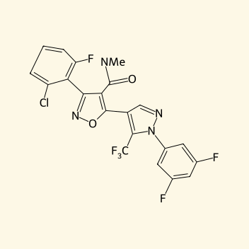 CNC(=O)c1c(-c2c(F)cccc2Cl)noc1-c1cnn(-c2cc(F)cc(F)c2)c1C(F)(F)F